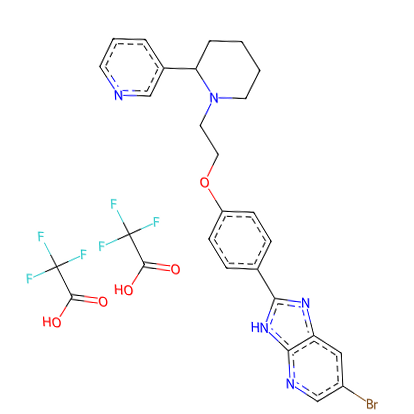 Brc1cnc2[nH]c(-c3ccc(OCCN4CCCCC4c4cccnc4)cc3)nc2c1.O=C(O)C(F)(F)F.O=C(O)C(F)(F)F